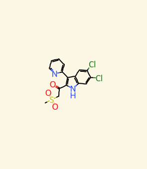 CS(=O)(=O)CC(=O)c1[nH]c2cc(Cl)c(Cl)cc2c1-c1ccccn1